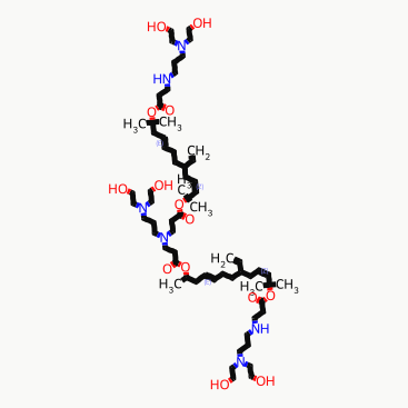 C=CC(C/C=C\C(C)(C)OC(=O)CCNCCCN(CCO)CCO)CC/C=C/CC(C)OC(=O)CCN(CCCN(CCO)CCO)CCC(=O)OC(C)(C)/C=C\CC(C=C)CC/C=C/CC(C)(C)OC(=O)CCNCCCN(CCO)CCO